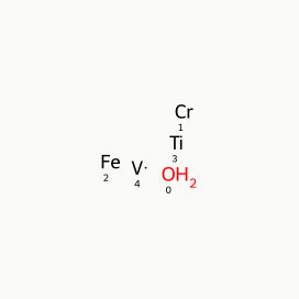 O.[Cr].[Fe].[Ti].[V]